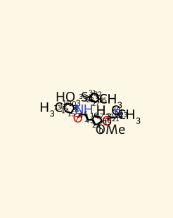 COc1cc(/C=C/C(=O)N[C@H]2CC[C@H](C)CC2)ccc1OCCN(C)C.Cc1ccc(S(=O)(=O)O)cc1